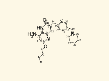 CCCCOc1nc(N)c2c(n1)CN(Cc1ccc(CN3CCCCC3)cc1)C(=O)N2